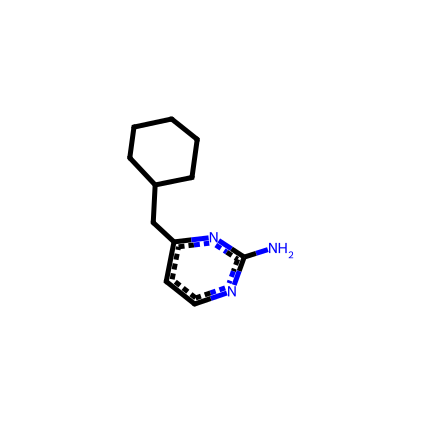 Nc1nccc(CC2CCCCC2)n1